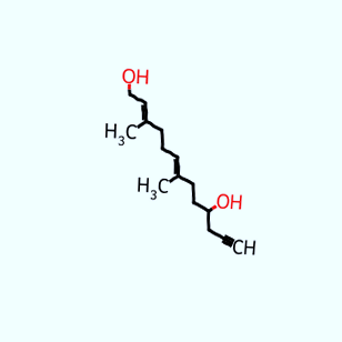 C#CCC(O)CC/C(C)=C/CC/C(C)=C/CO